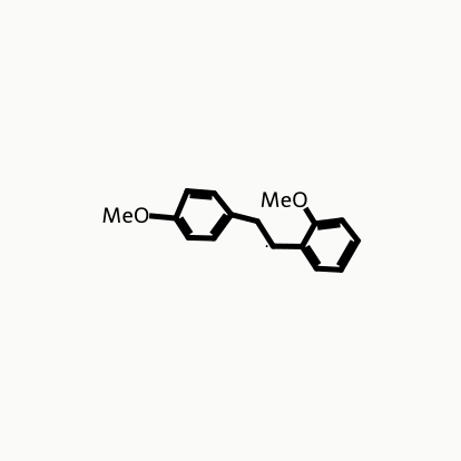 COc1ccc(C[CH]c2ccccc2OC)cc1